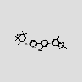 Cc1nc2c(C)cc(-c3cnc(-c4ccc(O[C@H]5CC(C)(C)NC(C)(C)[C@H]5F)nn4)c(O)c3)cc2o1